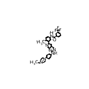 CCN1CCN(c2ccc(Nc3ncc4cc(-c5cc(NC(=O)c6cccc(C(F)(F)F)c6)ccc5C)ncc4n3)cc2)CC1